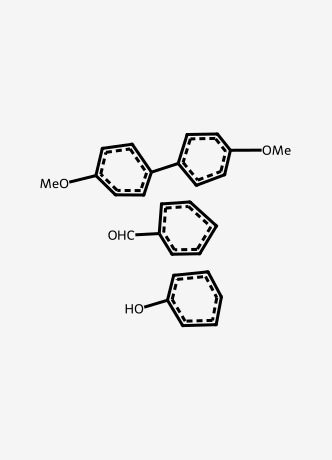 COc1ccc(-c2ccc(OC)cc2)cc1.O=Cc1ccccc1.Oc1ccccc1